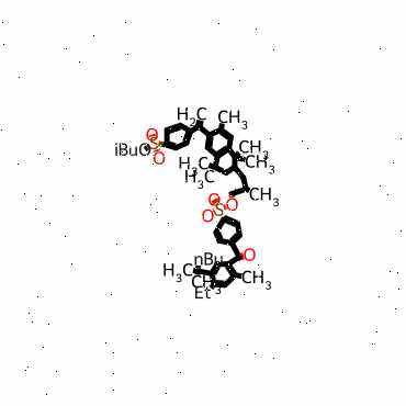 C=C(c1ccc(S(=O)(=O)OCC(C)C)cc1)c1cc2c(cc1C)C(C)(C)C(CC(C)COS(=O)(=O)c1ccc(C(=O)c3cc(C(C)(C)CCCC)c(CC)cc3C)cc1)CC2(C)C